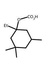 CCC1(OC(=O)O)CC(C)CC(C)(C)C1